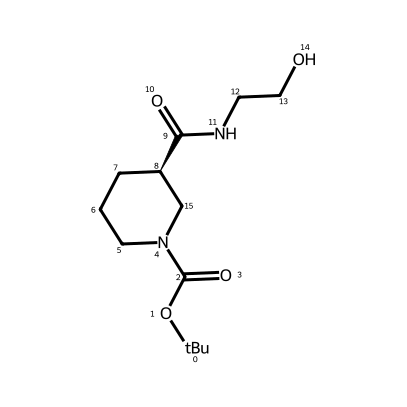 CC(C)(C)OC(=O)N1CCC[C@@H](C(=O)NCCO)C1